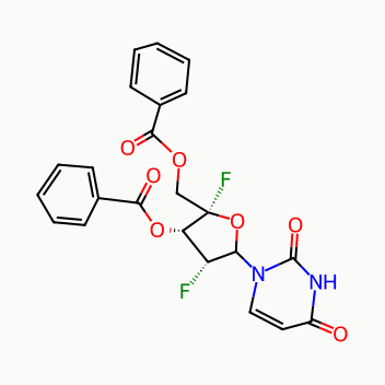 O=C(OC[C@@]1(F)OC(n2ccc(=O)[nH]c2=O)[C@H](F)[C@@H]1OC(=O)c1ccccc1)c1ccccc1